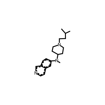 CC(C)CCN1CCC(N(C)c2ccc3cnccc3c2)CC1